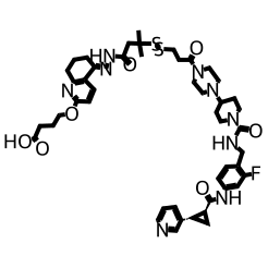 CC(C)(CC(=O)N/N=C1\CCCc2nc(OCCCC(=O)O)ccc21)SSCCC(=O)N1CCN(C2CCN(C(=O)NCc3ccc(NC(=O)[C@H]4C[C@@H]4c4cccnc4)cc3F)CC2)CC1